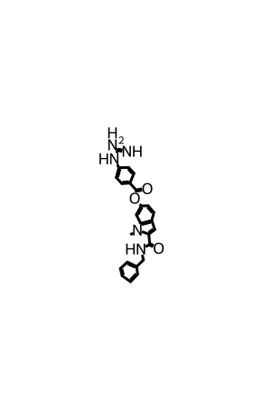 Cn1c(C(=O)NCc2ccccc2)cc2ccc(OC(=O)c3ccc(NC(=N)N)cc3)cc21